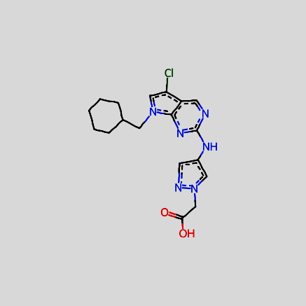 O=C(O)Cn1cc(Nc2ncc3c(Cl)cn(CC4CCCCC4)c3n2)cn1